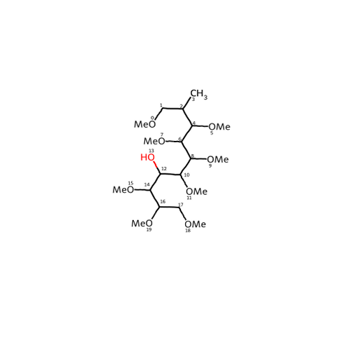 COCC(C)C(OC)C(OC)C(OC)C(OC)C(O)C(OC)C(COC)OC